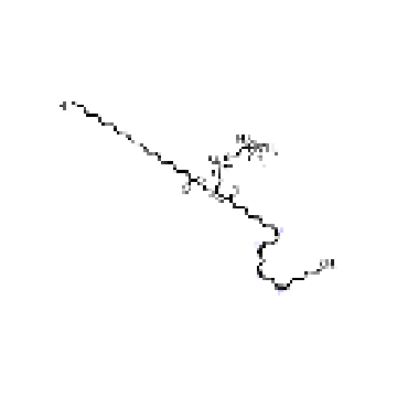 CCCCC/C=C\C/C=C\C/C=C\C/C=C\CCCCCC(=O)O[C@H](COC(=O)CCCCCCCCCCCCCCCC)COP(=O)([O-])OCC[N+](C)(C)C